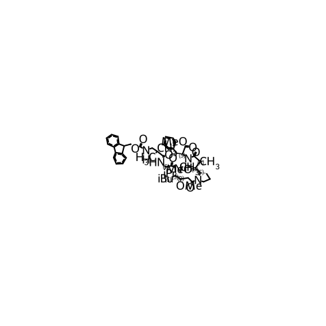 CC[C@H](C)[C@@H]([C@@H](CC(=O)N1CCC[C@H]1[C@H](OC)[C@@H](C)C(=O)N[C@@H](Cc1ccccc1)C(=O)OC)OC)N(C)C(=O)[C@@H](NC(=O)C(C)(C)CNC(=O)OCC1c2ccccc2-c2ccccc21)C(C)C